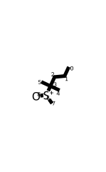 [CH2]CCC(C)(C)[S+](C)[O-]